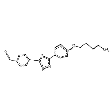 CCCCCOc1ccc(-c2nnc(-c3ccc(C=O)cc3)s2)cc1